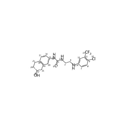 O=C(NCCNc1ccc(Cl)c(C(F)(F)F)c1)Nc1ccc2c(c1)CC(O)CC2